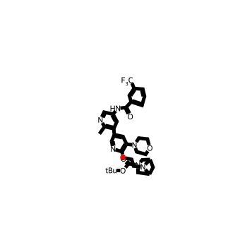 Cc1ncc(NC(=O)c2cccc(C(F)(F)F)c2)cc1-c1cnc(OCCN2C3CC2CN(C(=O)OC(C)(C)C)C3)c(N2CCOCC2)c1